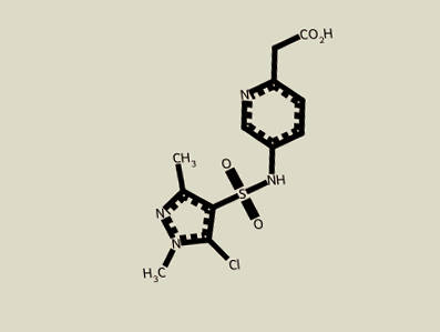 Cc1nn(C)c(Cl)c1S(=O)(=O)Nc1ccc(CC(=O)O)nc1